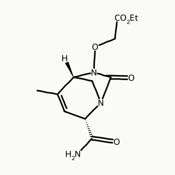 CCOC(=O)CON1C(=O)N2C[C@@H]1C(C)=C[C@H]2C(N)=O